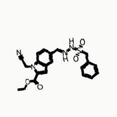 CCOC(=O)c1cc2cc(CNNS(=O)(=O)Cc3ccccc3)ccc2n1CC#N